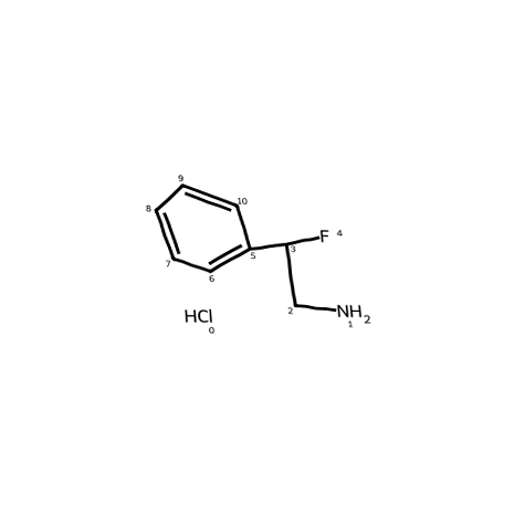 Cl.NCC(F)c1ccccc1